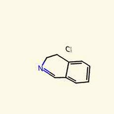 C1=NCCc2ccccc21.[C]